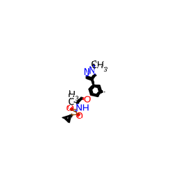 C[C@H](COc1c[c]cc(-c2cnn(C)c2)c1)NS(=O)(=O)C1CC1